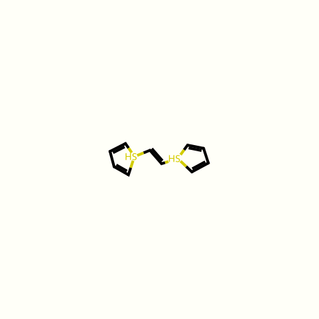 C1=C[SH](C=C[SH]2C=CC=C2)C=C1